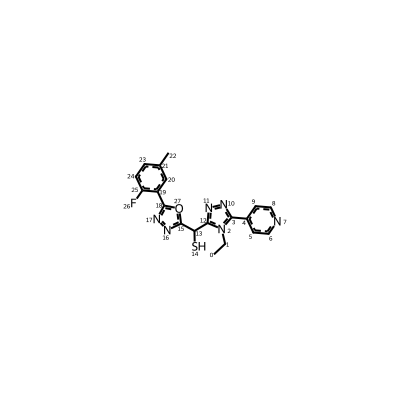 CCn1c(-c2ccncc2)nnc1C(S)c1nnc(-c2cc(C)ccc2F)o1